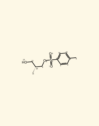 Cc1ccc(S(=O)(=O)OC[C@H](C)CO)cc1